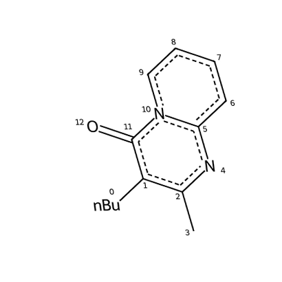 CCCCc1c(C)nc2ccccn2c1=O